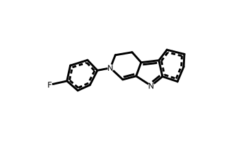 Fc1ccc(N2C=C3N=c4ccccc4=C3CC2)cc1